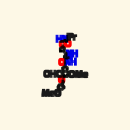 COc1ccc(COc2cc(OC)c3c(c2C=O)C[C@H](C(=O)Nc2cc([C@H]4CC[C@@H](OC(=O)NC(C)C)C4)[nH]n2)C3)cc1